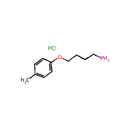 Cc1ccc(OCCCCP)cc1.Cl